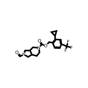 O=CN1CC2CCN(C(=O)OCc3ccc(C(F)(F)F)cc3C3CC3)CC2C1